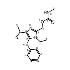 CCn1c(COC(=S)NC)nc(C(C)C)c1Sc1ccccc1